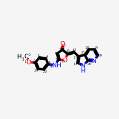 COc1ccc(NC2=CC(=O)/C(=C/c3c[nH]c4ncccc34)O2)cc1